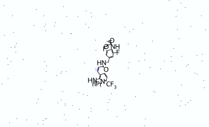 CCCNc1nc(C(F)(F)F)ccc1/C=C\C(=O)NCc1cc(F)c(NS(C)(=O)=O)c(F)c1